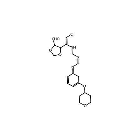 O=CC1OCOC1/C(=C/Cl)NC/N=C\N=C1\C=CC=C(OC2CCOCC2)C1